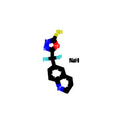 FC(F)(c1ccc2ncccc2c1)c1nnc(S)o1.[NaH]